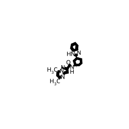 Cc1cc(C)n2nc(C(=O)N[C@@H]3CCC[C@H](c4nc5ccccc5[nH]4)C3)cc2n1